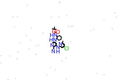 Cc1cc(Cl)cc(Nc2cc(N[C@@H]3CCCC[C@@H]3NC(=O)OC(C)(C)C)cnc2C#N)n1